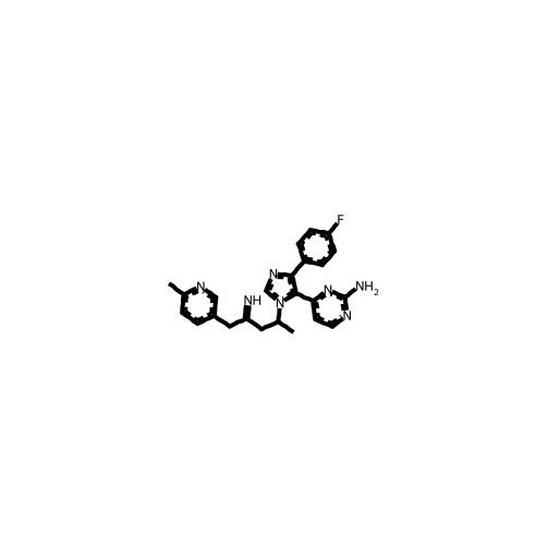 Cc1ccc(CC(=N)CC(C)n2cnc(-c3ccc(F)cc3)c2-c2ccnc(N)n2)cn1